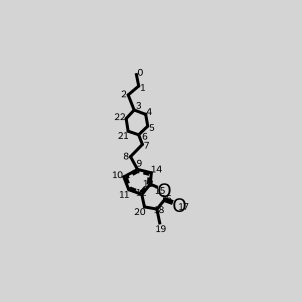 CCCC1CCC(CCc2ccc3c(c2)OC(=O)C(C)C3)CC1